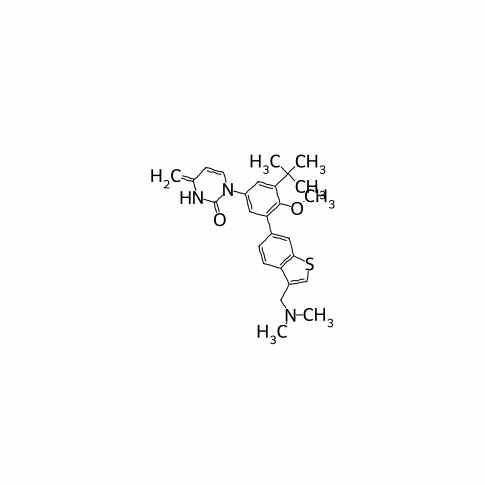 C=C1C=CN(c2cc(-c3ccc4c(CN(C)C)csc4c3)c(OC)c(C(C)(C)C)c2)C(=O)N1